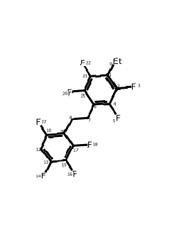 CCc1c(F)c(F)c(CCc2c(F)cc(F)c(F)c2F)c(F)c1F